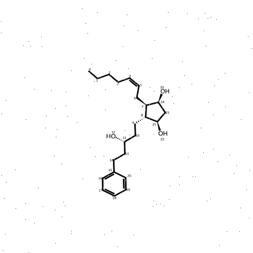 CCCC/C=C\C[C@@H]1[C@@H](CC[C@@H](O)CCc2ccccc2)[C@H](O)C[C@@H]1O